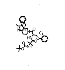 CN1N=C2CCN(C(=O)C(COc3ccccc3Cl)NC(=O)C(C)(C)NC(=O)OC(C)(C)C)C[C@@]2(Cc2ccccc2)C1=O